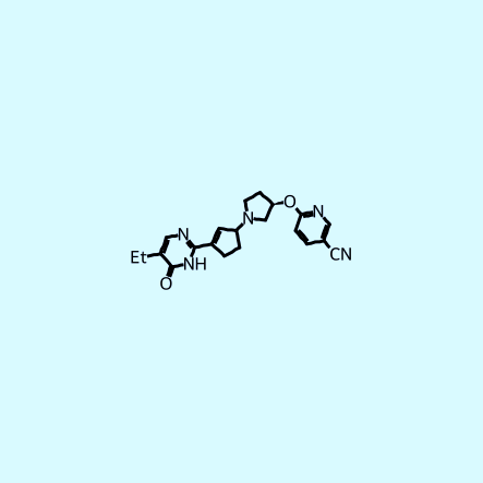 CCc1cnc(C2=CC(N3CC[C@@H](Oc4ccc(C#N)cn4)C3)CC2)[nH]c1=O